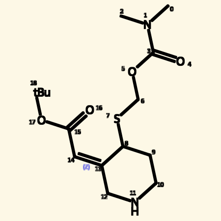 CN(C)C(=O)OCSC1CCNC/C1=C/C(=O)OC(C)(C)C